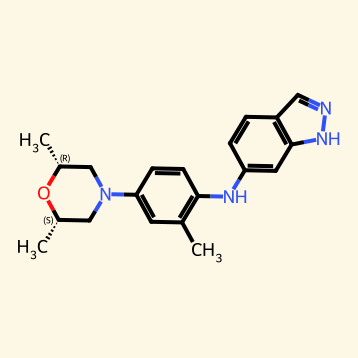 Cc1cc(N2C[C@@H](C)O[C@@H](C)C2)ccc1Nc1ccc2cn[nH]c2c1